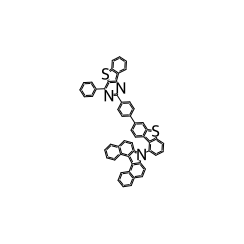 c1ccc(-c2nc(-c3ccc(-c4ccc5c(c4)sc4cccc(-n6c7ccc8ccccc8c7c7c8ccccc8ccc76)c45)cc3)nc3c2sc2ccccc23)cc1